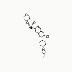 O=C(Nc1cc2cc([C@H]3CC[C@H](N4CC(F)C4)CC3)c(Cl)cc2cn1)[C@@H]1CC12CCOCC2